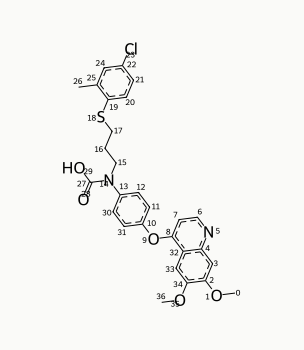 COc1cc2nccc(Oc3ccc(N(CCCSc4ccc(Cl)cc4C)C(=O)O)cc3)c2cc1OC